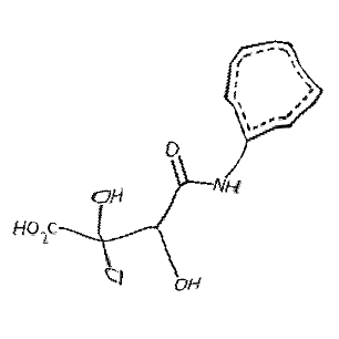 O=C(Nc1ccccc1)C(O)C(O)(Cl)C(=O)O